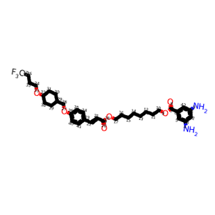 Nc1cc(N)cc(C(=O)OCCCCCCCCOC(=O)C=Cc2ccc(OCC3CCC(OCCCC(F)(F)F)CC3)cc2)c1